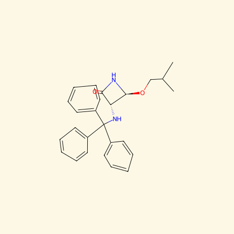 CC(C)CO[C@@H]1NC(=O)[C@H]1NC(c1ccccc1)(c1ccccc1)c1ccccc1